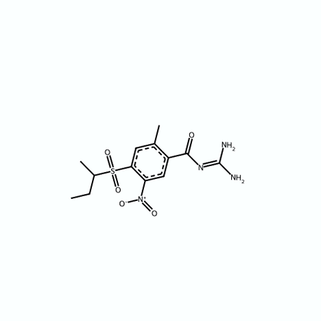 CCC(C)S(=O)(=O)c1cc(C)c(C(=O)N=C(N)N)cc1[N+](=O)[O-]